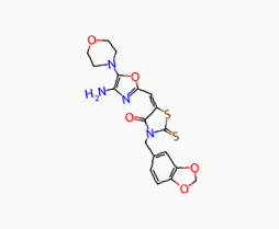 Nc1nc(/C=C2/SC(=S)N(Cc3ccc4c(c3)OCO4)C2=O)oc1N1CCOCC1